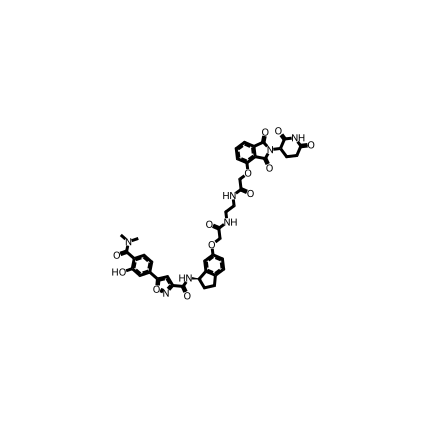 CN(C)C(=O)c1ccc(-c2cc(C(=O)N[C@@H]3CCc4ccc(OCC(=O)NCCNC(=O)COc5cccc6c5C(=O)N(C5CCC(=O)NC5=O)C6=O)cc43)no2)cc1O